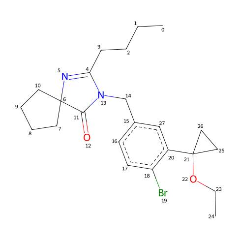 CCCCC1=NC2(CCCC2)C(=O)N1Cc1ccc(Br)c(C2(OCC)CC2)c1